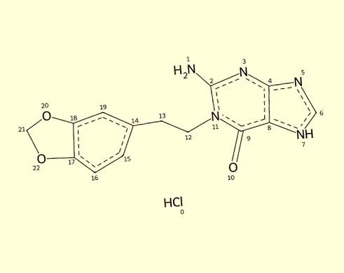 Cl.Nc1nc2nc[nH]c2c(=O)n1CCc1ccc2c(c1)OCO2